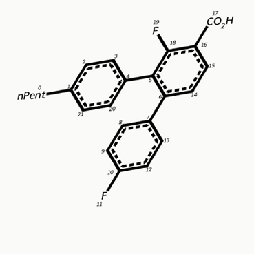 CCCCCc1ccc(-c2c(-c3ccc(F)cc3)ccc(C(=O)O)c2F)cc1